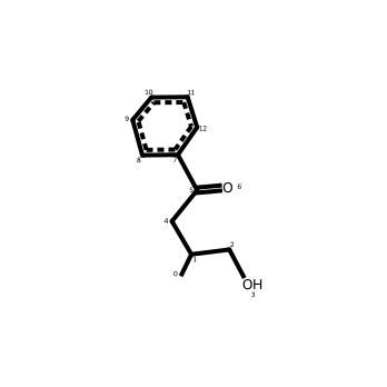 CC(CO)CC(=O)c1ccccc1